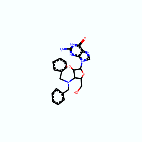 Nc1nc2c(ncn2C2OC(CO)C(N(Cc3ccccc3)Cc3ccccc3)C2O)c(=O)[nH]1